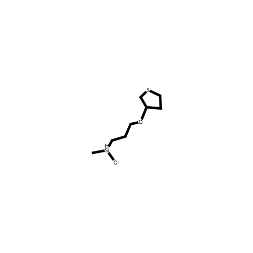 C[SiH]([O])CCCOC1CCSC1